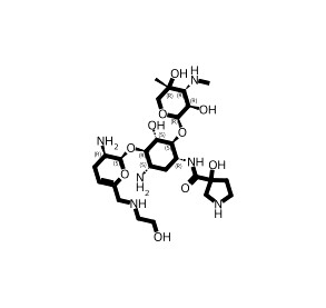 CN[C@@H]1[C@@H](O)[C@@H](O[C@@H]2[C@@H](O)[C@H](O[C@H]3OC(CNCCO)=CC[C@H]3N)[C@@H](N)C[C@H]2NC(=O)C2(O)CCNC2)OC[C@]1(C)O